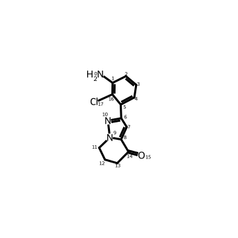 Nc1cccc(-c2cc3n(n2)CCCC3=O)c1Cl